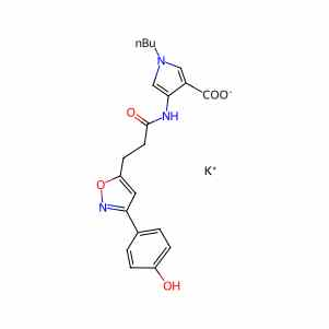 CCCCn1cc(NC(=O)CCc2cc(-c3ccc(O)cc3)no2)c(C(=O)[O-])c1.[K+]